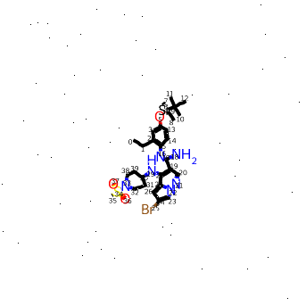 CCc1cc(O[Si](C)(C)C(C)(C)C)ccc1N=C(N)c1cnn2cc(Br)cc2c1NC1CCN(S(C)(=O)=O)CC1